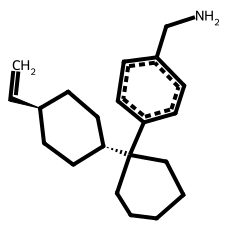 C=C[C@H]1CC[C@H](C2(c3ccc(CN)cc3)CCCCC2)CC1